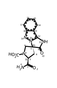 NC(=O)[C@@H]1C[C@@]2(CN1C(=O)O)C(=O)Nc1c3ccccc3nn12